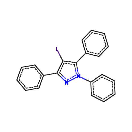 Ic1c(-c2ccccc2)nn(-c2ccccc2)c1-c1ccccc1